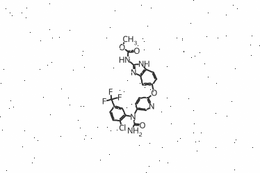 COC(=O)Nc1nc2cc(Oc3ccc(N(C(N)=O)c4cc(C(F)(F)F)ccc4Cl)cn3)ccc2[nH]1